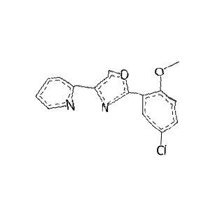 COc1ccc(Cl)cc1-c1nc(-c2ccccn2)co1